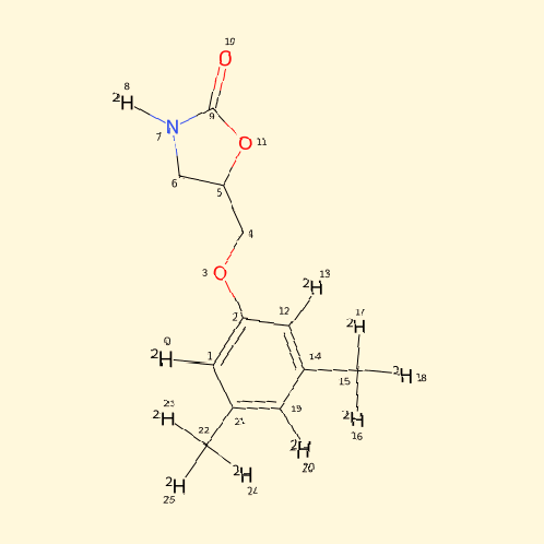 [2H]c1c(OCC2CN([2H])C(=O)O2)c([2H])c(C([2H])([2H])[2H])c([2H])c1C([2H])([2H])[2H]